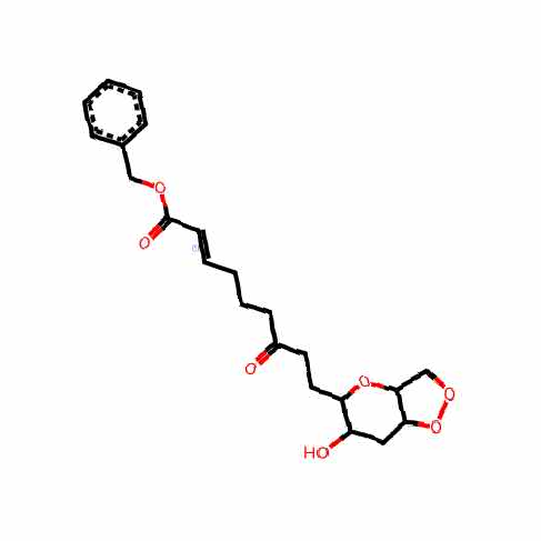 O=C(CCC/C=C/C(=O)OCc1ccccc1)CCC1OC2COOC2CC1O